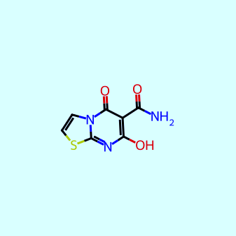 NC(=O)c1c(O)nc2sccn2c1=O